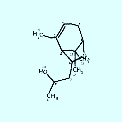 CC1=CCC2OC(CC(C)O)C1C2(C)C